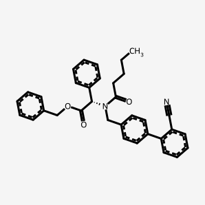 CCCCC(=O)N(Cc1ccc(-c2ccccc2C#N)cc1)[C@H](C(=O)OCc1ccccc1)c1ccccc1